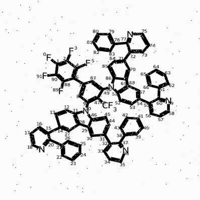 Fc1c(F)c(F)c(-c2cc(-n3c4ccc(-c5cccnc5-c5ccccc5)cc4c4cc(-c5cccnc5-c5ccccc5)ccc43)c(C(F)(F)F)c(-n3c4ccc(-c5cccnc5-c5ccccc5)cc4c4cc(-c5cccnc5-c5ccccc5)ccc43)c2)c(F)c1F